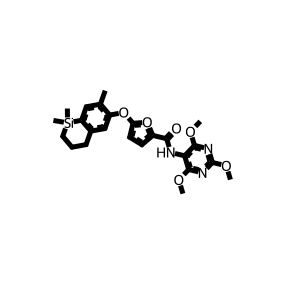 COc1nc(OC)c(NC(=O)c2ccc(Oc3cc4c(cc3C)[Si](C)(C)CCC4)o2)c(OC)n1